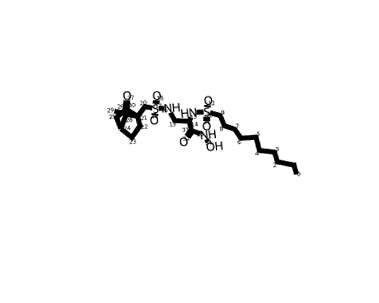 CCCCCCCCCCS(=O)(=O)NC(CNS(=O)(=O)CC12CCC(CC1=O)C2(C)C)C(=O)NO